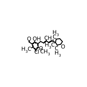 COc1c(Cl)c(C)c(C=O)c(O)c1C/C=C(C)/C=C/[C@@]1(C)[C@H](C)CCC(=O)[C@@H]1C